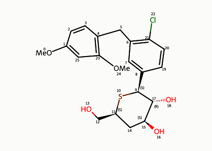 COc1ccc(Cc2cc([C@@H]3S[C@H](CO)C[C@H](O)[C@H]3O)ccc2Cl)c(OC)c1